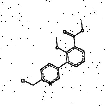 COC(=O)c1cccc(-c2ccc(CCl)nc2)c1OC